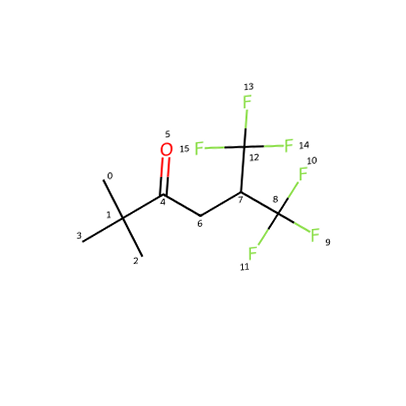 CC(C)(C)C(=O)CC(C(F)(F)F)C(F)(F)F